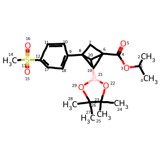 CC(C)OC(=O)C12CC(c3ccc(S(C)(=O)=O)cc3)(C1)C2B1OC(C)(C)C(C)(C)O1